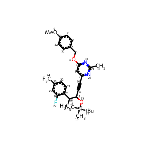 COc1ccc(COc2cc(C#CC(O[Si](C)(C)C(C)(C)C)C(C)c3ccc(C(F)(F)F)cc3F)nc(C)n2)cc1